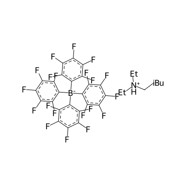 CCC(C)C[NH+](CC)CC.Fc1c(F)c(F)c([B-](c2c(F)c(F)c(F)c(F)c2F)(c2c(F)c(F)c(F)c(F)c2F)c2c(F)c(F)c(F)c(F)c2F)c(F)c1F